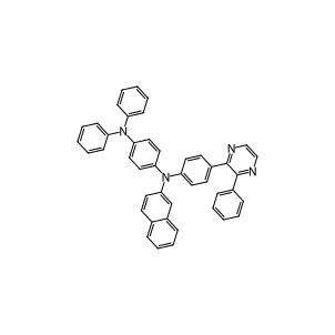 c1ccc(-c2nccnc2-c2ccc(N(c3ccc(N(c4ccccc4)c4ccccc4)cc3)c3ccc4ccccc4c3)cc2)cc1